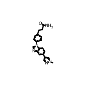 Cn1cc(-c2ccc3c(c2)ncn3-c2ccc(CCC(N)=O)cc2)cn1